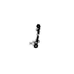 CC1(CNC(=O)OCCSSCCOC(=O)Cc2ccccc2)CCCCC1